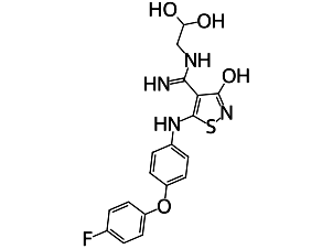 N=C(NCC(O)O)c1c(O)nsc1Nc1ccc(Oc2ccc(F)cc2)cc1